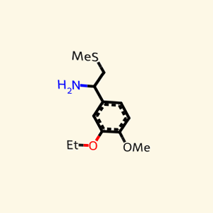 CCOc1cc(C(N)CSC)ccc1OC